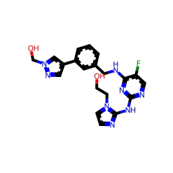 OCCn1ccnc1Nc1ncc(F)c(NCc2cccc(-c3cnn(CO)c3)c2)n1